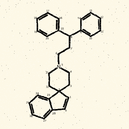 C1=CC2(CCN(CCC(c3ccccc3)c3ccccc3)CC2)c2ccccc21